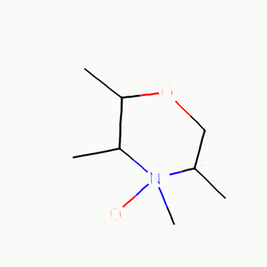 CC1OCC(C)[N+](C)([O-])C1C